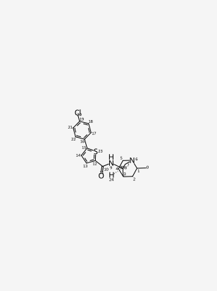 CC1CC2CCN1C[C@@H]2NC(=O)c1ccc(-c2ccc(Cl)cc2)s1